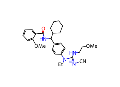 CCN(/C(=N/C#N)NCCOC)c1ccc(C(NC(=O)c2ccccc2OC)C2CCCCC2)cc1